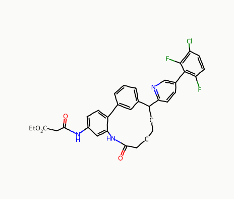 CCOC(=O)CC(=O)Nc1ccc2c(c1)NC(=O)CCCCC(c1ccc(-c3c(F)ccc(Cl)c3F)cn1)c1cccc-2c1